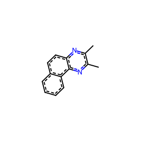 Cc1nc2ccc3ccccc3c2nc1C